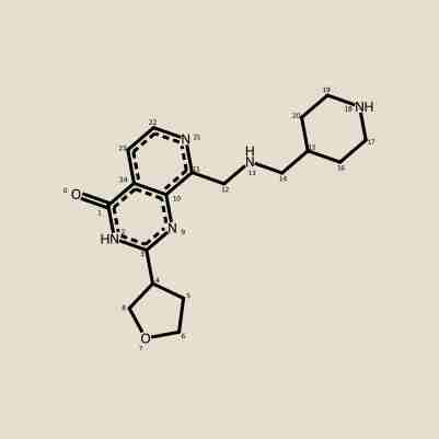 O=c1[nH]c(C2CCOC2)nc2c(CNCC3CCNCC3)nccc12